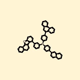 c1cc(-c2cccc3oc4c5ccccc5ccc4c23)cc(N(c2ccc(-c3ccc4ccccc4c3)cc2)c2ccc(-c3cc4ccccc4c4ccccc34)cc2)c1